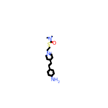 CN(C)C(=O)SCC[n+]1ccc(/C=C/c2ccc(N)cc2)cc1